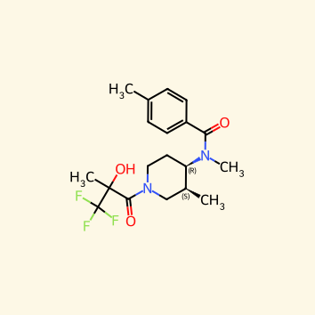 Cc1ccc(C(=O)N(C)[C@@H]2CCN(C(=O)C(C)(O)C(F)(F)F)C[C@@H]2C)cc1